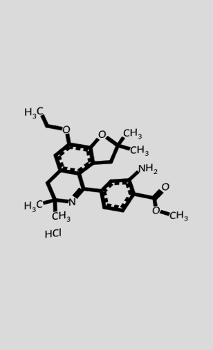 CCOc1cc2c(c3c1OC(C)(C)C3)C(c1ccc(C(=O)OC)c(N)c1)=NC(C)(C)C2.Cl